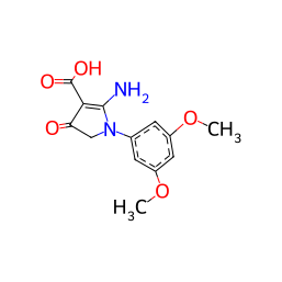 COc1cc(OC)cc(N2CC(=O)C(C(=O)O)=C2N)c1